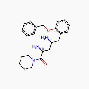 NC(Cc1ccccc1OCc1ccccc1)C[C@H](N)C(=O)N1CCCCC1